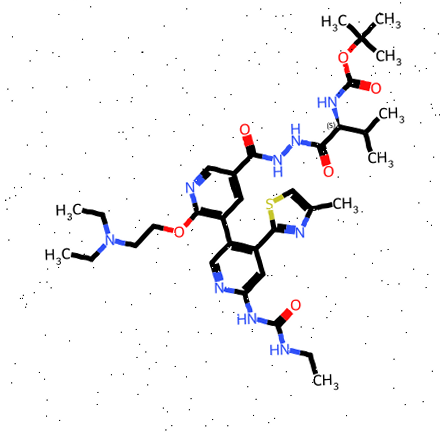 CCNC(=O)Nc1cc(-c2nc(C)cs2)c(-c2cc(C(=O)NNC(=O)[C@@H](NC(=O)OC(C)(C)C)C(C)C)cnc2OCCN(CC)CC)cn1